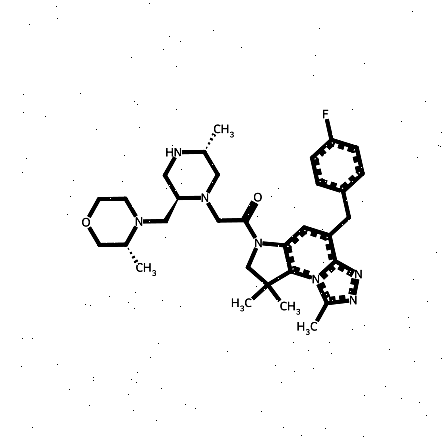 Cc1nnc2c(Cc3ccc(F)cc3)cc3c(n12)C(C)(C)CN3C(=O)CN1C[C@@H](C)NC[C@@H]1CN1CCOC[C@H]1C